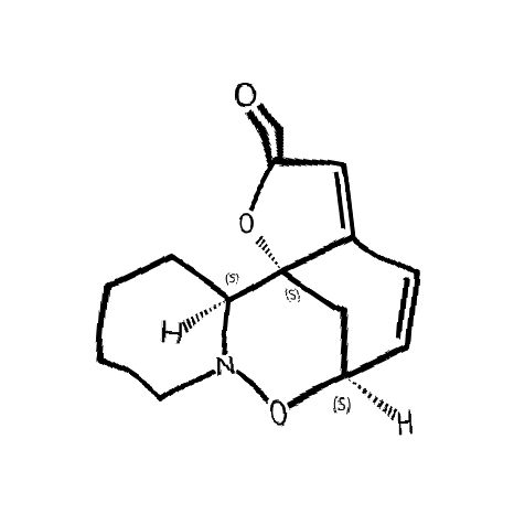 O=C1C=C2C=C[C@@H]3C[C@@]2(O1)[C@@H]1CCCCN1O3